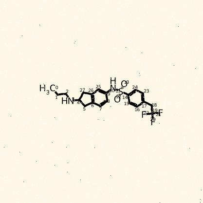 CCCNC1Cc2ccc(NS(=O)(=O)c3ccc(CC(F)(F)F)cc3)cc2C1